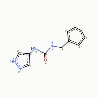 O=C(NCc1ccccc1)Nc1cn[nH]c1